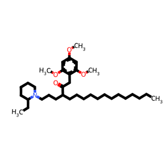 CCCCCCCCCCCCCC(CCCN1CCCCC1CC)C(=O)Cc1c(OC)cc(OC)cc1OC